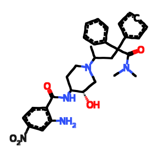 CC(CC(C(=O)N(C)C)(c1ccccc1)c1ccccc1)N1CC[C@H](NC(=O)c2ccc([N+](=O)[O-])cc2N)[C@@H](O)C1